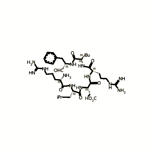 CC[C@H](C)[C@H](NC(=O)[C@H](CCCNC(=N)N)NC(=O)[C@H](CC(=O)O)NC(=O)[C@H](CC(C)C)NC(=O)[C@@H](N)CCCNC(=N)N)C(=O)N[C@H]([C]=O)Cc1ccccc1